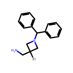 CCC1(CN)CN(C(c2ccccc2)c2ccccc2)C1